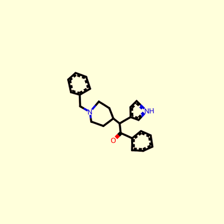 O=C(c1ccccc1)C(c1cc[nH]c1)C1CCN(Cc2ccccc2)CC1